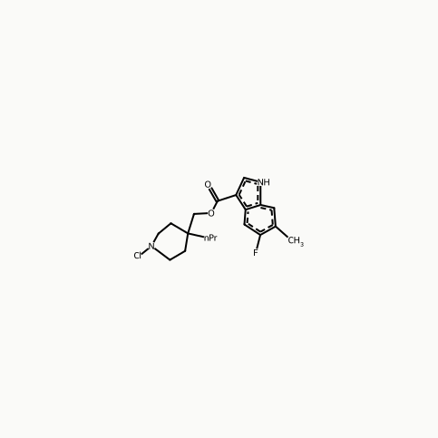 CCCC1(COC(=O)c2c[nH]c3cc(C)c(F)cc23)CCN(Cl)CC1